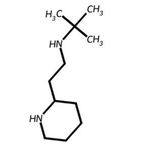 CC(C)(C)NCCC1CCCCN1